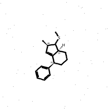 CSC1[C@H](C)C=C2[C@H](c3ccccc3)CCC[C@@H]21